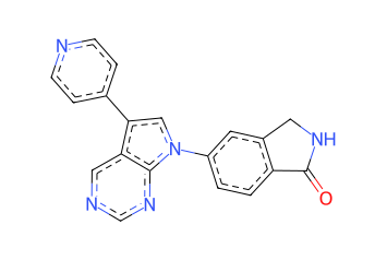 O=C1NCc2cc(-n3cc(-c4ccncc4)c4cncnc43)ccc21